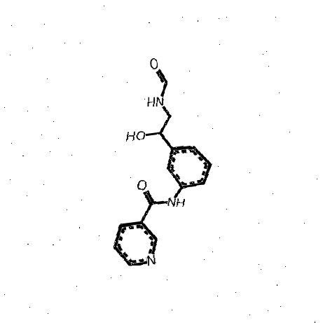 O=CNCC(O)c1cccc(NC(=O)c2cccnc2)c1